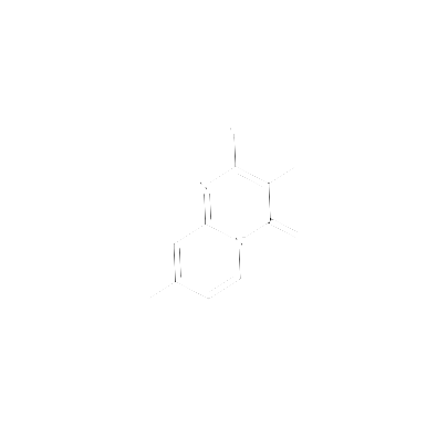 O=c1c(Br)c(C(F)(F)F)nc2cc(C(F)(F)F)ccn12